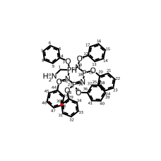 NC[PH]1(Oc2ccccc2)N(Oc2ccccc2)P(Oc2ccccc2)N=P(Oc2ccccc2)(Oc2ccccc2)N1Oc1ccccc1